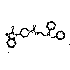 O=C(OCCN(Cc1ccccc1)c1ccccc1)N1CCC(n2c(=O)[nH]c3ccccc32)CC1